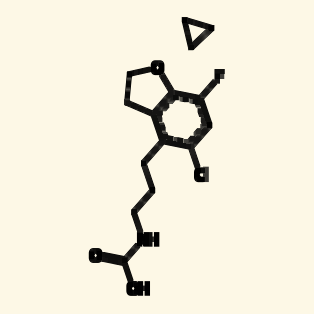 C1CC1.O=C(O)NCCCc1c(Cl)cc(F)c2c1CCO2